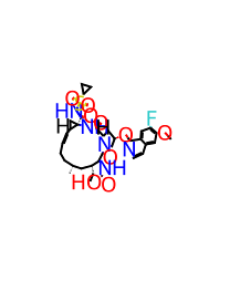 CC[C@@H]1C[C@H](C)CCC=C[C@@H]2C[C@@]2(C(=O)NS(=O)(=O)C2CC2)NC(=O)[C@@H]2C[C@@H](Oc3nccc4cc(OC)c(F)cc34)CN2C(=O)[C@H]1NC(=O)O